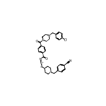 N#Cc1ccc(CN2CCC(N=[N+]=NC(=O)c3ccc(C(=O)N4CCN(Cc5ccc(Cl)cc5)CC4)cc3)CC2)cc1